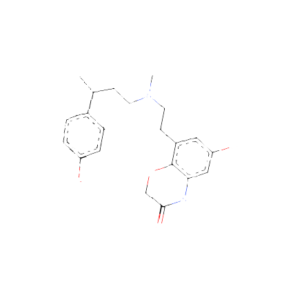 CC(CCN(C)CCc1cc(O)cc2c1OCC(=O)N2)c1ccc(O)cc1